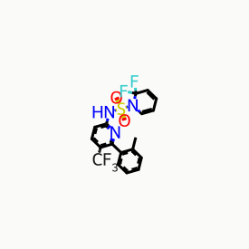 Cc1ccccc1-c1nc(NS(=O)(=O)N2C=CC=CC2(F)F)ccc1C(F)(F)F